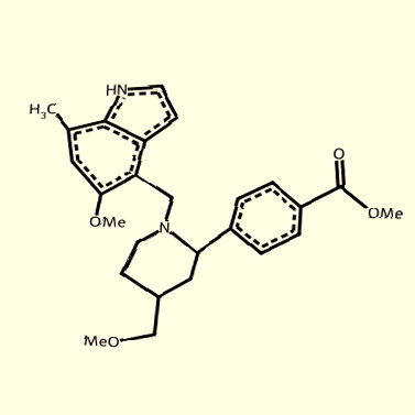 COCC1CCN(Cc2c(OC)cc(C)c3[nH]ccc23)C(c2ccc(C(=O)OC)cc2)C1